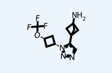 NC12CC(c3cnnn3[C@H]3C[C@@H](OC(F)(F)F)C3)(C1)C2